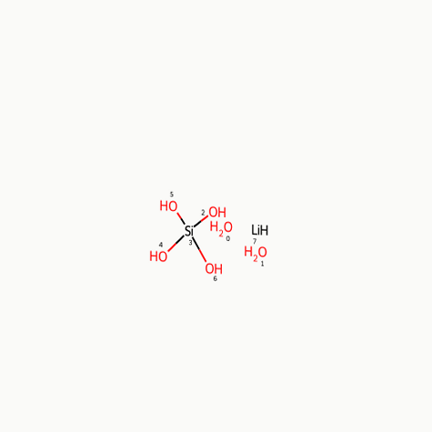 O.O.O[Si](O)(O)O.[LiH]